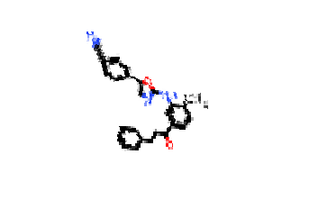 Cc1ccc(C(=O)CCc2ccccc2)cc1Nc1ncc(-c2ccc(C#N)cc2)o1